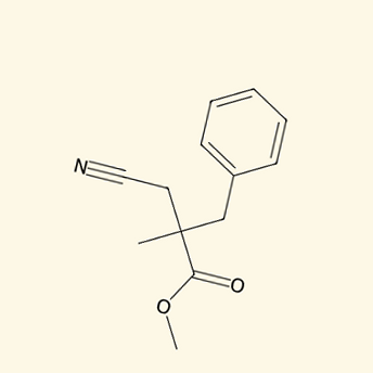 COC(=O)C(C)(CC#N)Cc1ccccc1